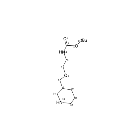 CC(C)(C)OC(=O)NCCOCC1CCCNC1